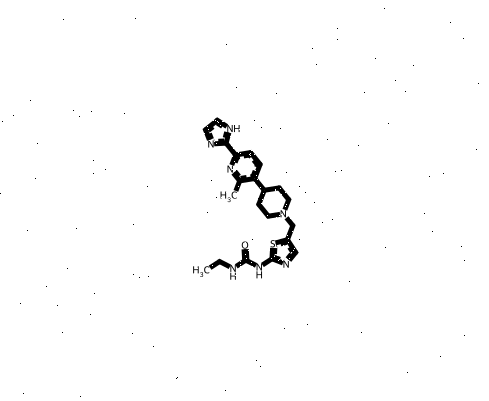 CCNC(=O)Nc1ncc(CN2CCC(c3ccc(-c4ncc[nH]4)nc3C)CC2)s1